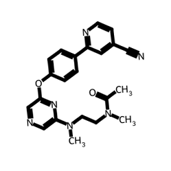 CC(=O)N(C)CCN(C)c1cncc(Oc2ccc(-c3cc(C#N)ccn3)cc2)n1